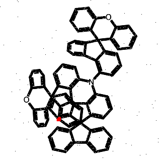 c1ccc2c(c1)Oc1ccccc1C21c2ccccc2-c2c(N(c3cccc4c3-c3ccccc3C43c4ccccc4Oc4ccccc43)c3cccc4c3-c3ccccc3C43c4ccccc4-c4ccccc43)cccc21